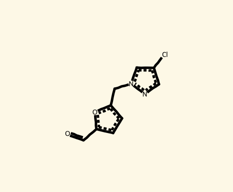 O=Cc1ccc(Cn2cc(Cl)cn2)o1